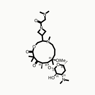 CO[C@]1(C)CCCN(C)C(C2CN(C(=O)CN(C)C)C2)COC(=O)C(C)(C)C(=O)[C@H](C)[C@H]1O[C@@H]1O[C@H](C)C[C@H](N(C)C)[C@H]1O